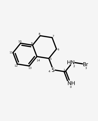 N=C(NBr)SC1CCCc2ccccc21